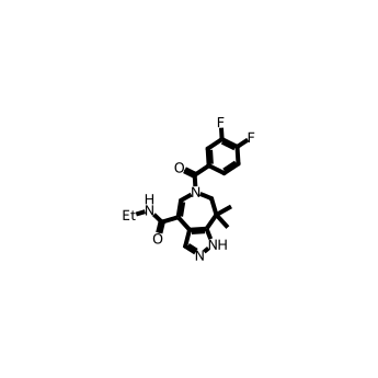 CCNC(=O)C1=CN(C(=O)c2ccc(F)c(F)c2)CC(C)(C)c2[nH]ncc21